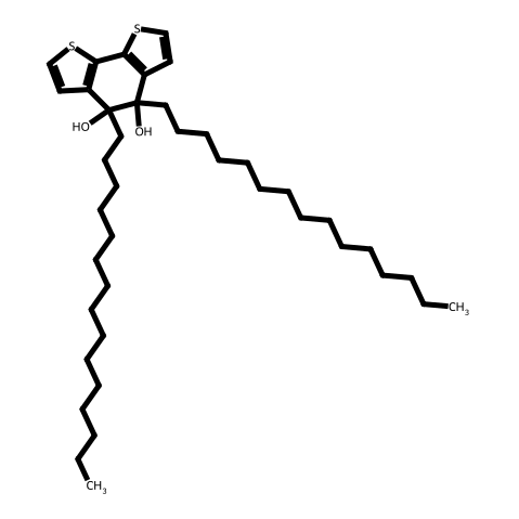 CCCCCCCCCCCCCCCC1(O)c2ccsc2-c2sccc2C1(O)CCCCCCCCCCCCCCC